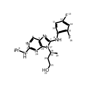 CC(C)Nc1ncc2nc(Nc3ccc(F)cc3F)n([C@@H](C)CCO)c2n1